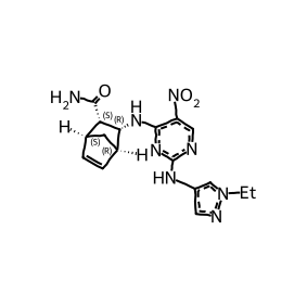 CCn1cc(Nc2ncc([N+](=O)[O-])c(N[C@H]3[C@@H](C(N)=O)[C@@H]4C=C[C@H]3C4)n2)cn1